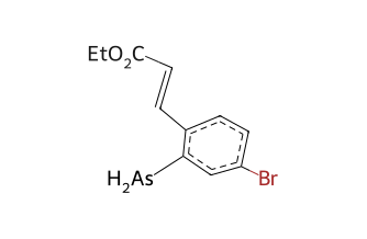 CCOC(=O)C=Cc1ccc(Br)cc1[AsH2]